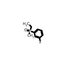 CCP(C)(=O)c1cccc(F)c1